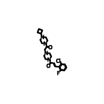 O=C(/C=C/c1c(F)cccc1Cl)N1CCN(CC(=O)N2CCN(C3CCC3)CC2)CC1